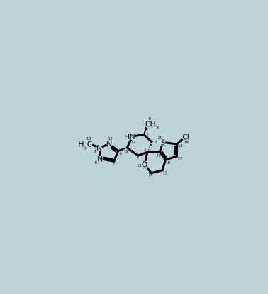 C[C@H]1C[C@@]2(C[C@@H](c3cnn(C)n3)N1)OCCc1cc(Cl)sc12